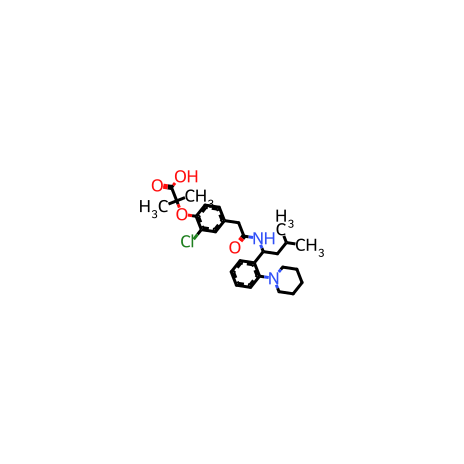 CC(C)CC(NC(=O)Cc1ccc(OC(C)(C)C(=O)O)c(Cl)c1)c1ccccc1N1CCCCC1